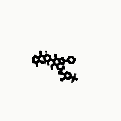 CCc1c(N2C[C@@H](C)N(C(=O)c3ncnc(C)c3O)C[C@@H]2C)c(=O)n2nc(C3=CCOCC3)nc2n1CC(=O)Nc1ccc(C(F)(F)F)cc1Cl